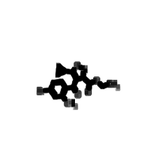 CCOC(=O)c1noc(C2CC2)c1C(=O)c1ccc(Br)cc1C